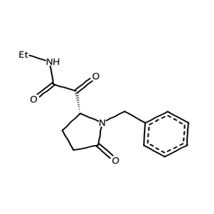 CCNC(=O)C(=O)[C@H]1CCC(=O)N1Cc1ccccc1